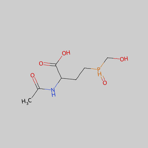 CC(=O)NC(CC[PH](=O)CO)C(=O)O